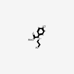 COC(=O)C(SCCC(C)=O)c1ccc(Cl)cc1